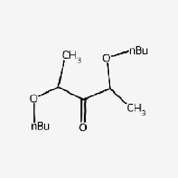 CCCCOC(C)C(=O)C(C)OCCCC